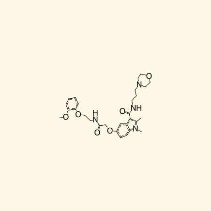 COc1ccccc1OCCNC(=O)COc1ccc2c(c1)c(C(=O)NCCCN1CCOCC1)c(C)n2C